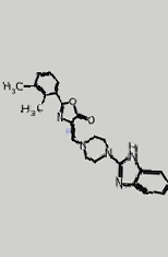 Cc1cccc(C2=N/C(=C/N3CCN(c4nc5ccccc5[nH]4)CC3)C(=O)O2)c1C